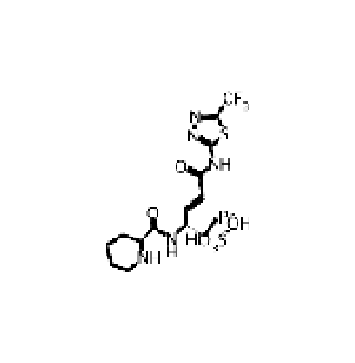 CC(C)C[C@@H](C=CC(=O)Nc1nnc(C(F)(F)F)s1)NC(=O)[C@@H]1CCCCN1.O=S(=O)(O)O